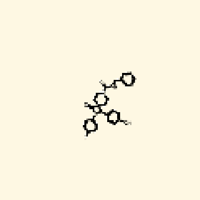 O=C(NCc1ccccc1)N1CCC2(CC1)C(=O)N(c1ccc(F)cc1)C2c1ccc(O)cc1